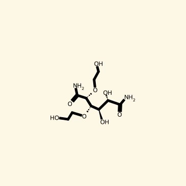 NC(=O)[C@@H](O)[C@@H](O)[C@H](OCCO)[C@@H](OCCO)C(N)=O